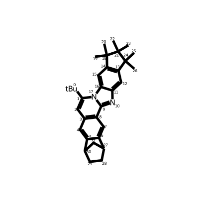 CC(C)(C)c1cc2cc3c(cc2c2nc4cc5c(cc4n12)C(C)(C)C(C)(C)C5(C)C)C1CCC3C1